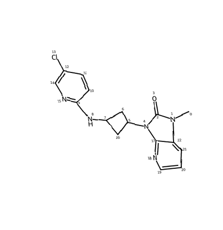 Cn1c(=O)n(C2CC(Nc3ccc(Cl)cn3)C2)c2ncccc21